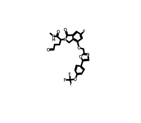 CNC(=O)C(CCC=O)N1Cc2c(OCc3ncc(-c4ccc(OC(F)(F)F)cc4)o3)cc(F)cc2C1=O